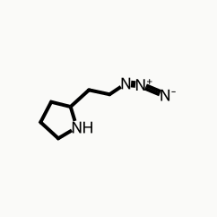 [N-]=[N+]=NCCC1CCCN1